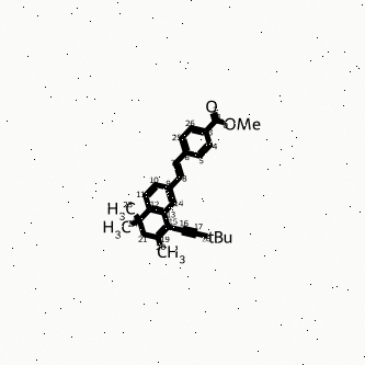 COC(=O)c1ccc(/C=C/c2ccc3c(c2)C(C#CC(C)(C)C)=C(C)CC3(C)C)cc1